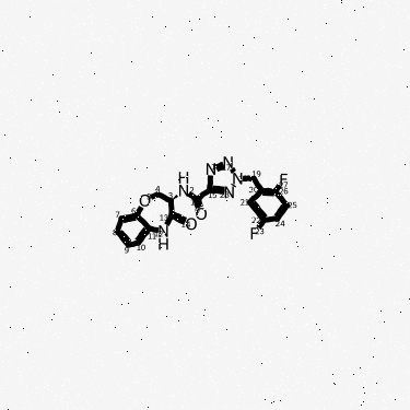 O=C(N[C@H]1COc2ccccc2NC1=O)c1nnn(Cc2cc(F)ccc2F)n1